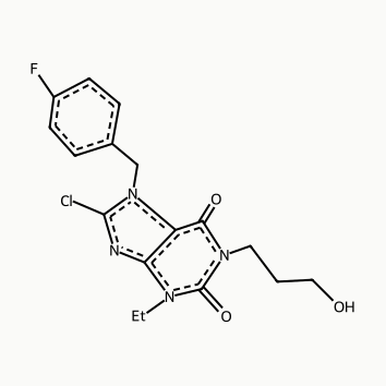 CCn1c(=O)n(CCCO)c(=O)c2c1nc(Cl)n2Cc1ccc(F)cc1